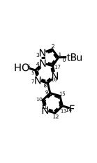 CC(C)(C)c1cnn2c(O)nc(-c3cncc(F)c3)nc12